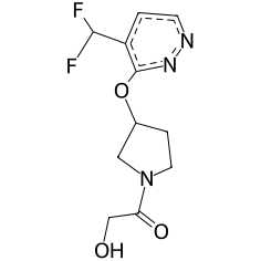 O=C(CO)N1CCC(Oc2nnccc2C(F)F)C1